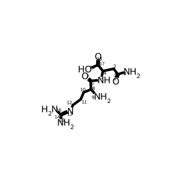 NC(=O)CC(NC(=O)C(N)CCCN=C(N)N)C(=O)O